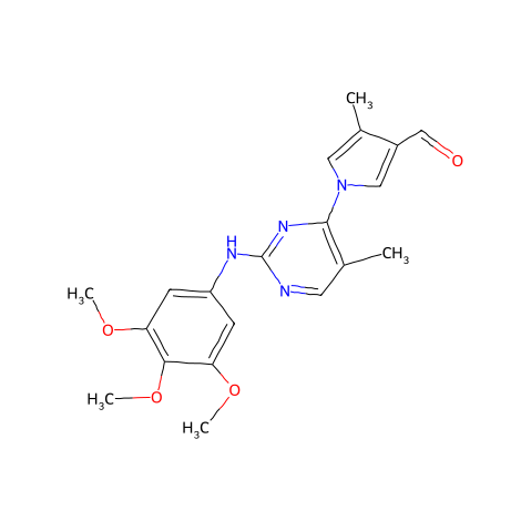 COc1cc(Nc2ncc(C)c(-n3cc(C)c(C=O)c3)n2)cc(OC)c1OC